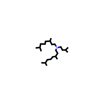 CC(C)CCCC(C)CCN(CCC(C)C)CCC(C)CCCC(C)C